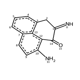 N=C1Cc2cccc3ccc(N)c(c23)C1=O